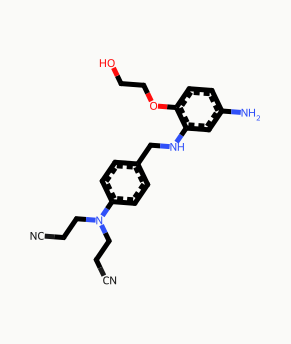 N#CCCN(CCC#N)c1ccc(CNc2cc(N)ccc2OCCO)cc1